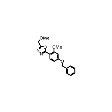 COCc1nnc(-c2ccc(OCc3ccccc3)cc2OC)o1